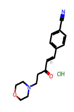 Cl.N#Cc1ccc(/C=C/C(=O)CCN2CCOCC2)cc1